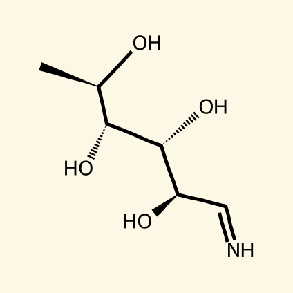 C[C@@H](O)[C@@H](O)[C@H](O)[C@H](O)C=N